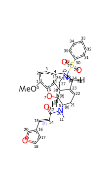 COc1ccc2c3c1O[C@H]1[C@H](N(C)C(=O)/C=C/c4ccoc4)CC=C4[C@@H](C2)N(S(=O)(=O)c2ccccc2)CCC431